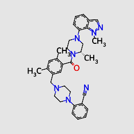 Cc1cc(C)c(C(=O)N2CCN(c3cccc4cnn(C)c34)C[C@@H]2C)cc1CN1CCN(c2ccccc2C#N)CC1